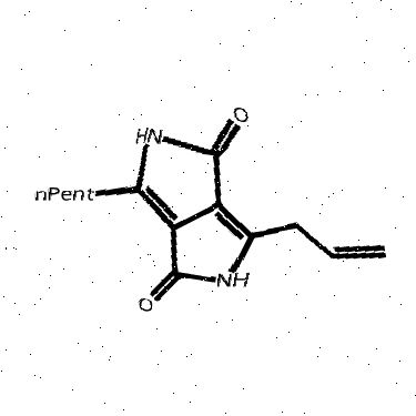 C=CCC1=C2C(=O)NC(CCCCC)=C2C(=O)N1